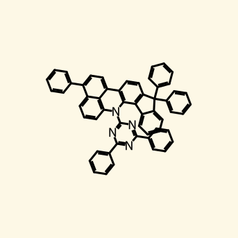 c1ccc(-c2nc(-c3ccccc3)nc(N3c4c(ccc5c4-c4ccccc4C5(c4ccccc4)c4ccccc4)-c4ccc(-c5ccccc5)c5cccc3c45)n2)cc1